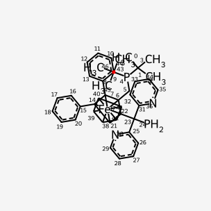 CC(C)(C)P(C[C]12[C]3(c4ccccc4)[C]4(c5ccccc5)[CH]5[C]1(C(P)(c1ccccn1)c1ccccn1)[Fe]54231678[CH]2[CH]1[CH]6[CH]7[CH]28)C(C)(C)C